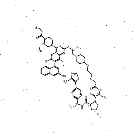 Cc1ncsc1-c1ccc([C@H](C)NC(=O)[C@@H]2C[C@@H](O)CN2C(=O)[C@@H](NC(=O)COCCOC2CCN(C[C@@H](C)Oc3nc(N4CCN(C(=O)OC(C)(C)C)[C@@H](CC#N)C4)c4cc(Cl)c(-c5cc(O)cc6ccccc56)c(F)c4n3)CC2)C(C)(C)C)cc1